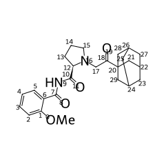 COc1ccccc1C(=O)NC(=O)[C@H]1CCCN1CC(=O)C12CC3CC(CC(C3)C1)C2